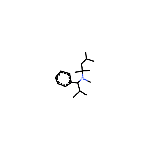 CC(C)CC(C)(C)N(C)C(c1ccccc1)C(C)C